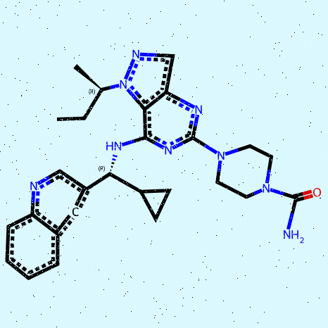 CC[C@@H](C)n1ncc2nc(N3CCN(C(N)=O)CC3)nc(N[C@@H](c3cnc4ccccc4c3)C3CC3)c21